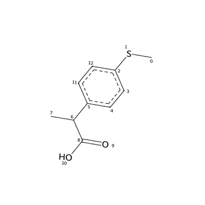 CSc1ccc(C(C)C(=O)O)cc1